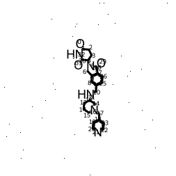 O=C1CCC(N2Cc3cc(CNC4CCCN(Cc5ccncc5)C4)ccc3C2=O)C(=O)N1